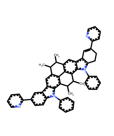 CC1c2cc3c4c(n(-c5ccccc5)c3c3c2-c2c(cc5c6cc(-c7ccccn7)ccc6n(-c6ccccc6)c5c2C(C)C3C)C1C)CCC(c1ccccn1)=C4